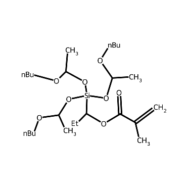 C=C(C)C(=O)OC(CC)[Si](OC(C)OCCCC)(OC(C)OCCCC)OC(C)OCCCC